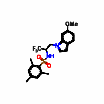 COc1ccc2ccn(CC(NS(=O)(=O)c3c(C)cc(C)cc3C)C(F)(F)F)c2c1